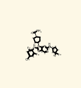 NC(=O)[C@H]1CC[C@@H](n2c(Nc3c(F)cc(Cl)cc3F)nc3cnc(N[C@H]4CCC(F)(F)C4)nc32)CC1